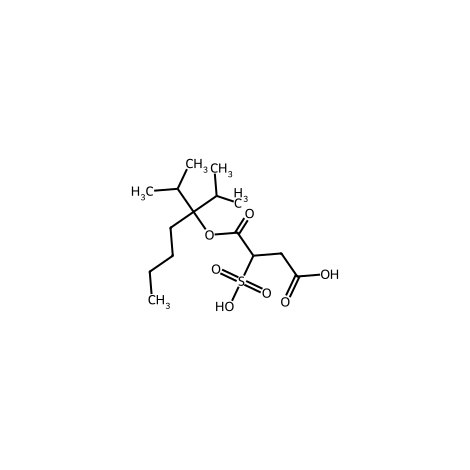 CCCCC(OC(=O)C(CC(=O)O)S(=O)(=O)O)(C(C)C)C(C)C